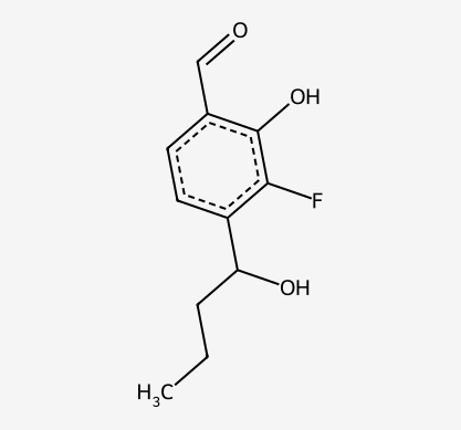 CCCC(O)c1ccc(C=O)c(O)c1F